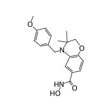 COc1ccc(CN2c3cc(C(=O)NO)ccc3OCC2(C)C)cc1